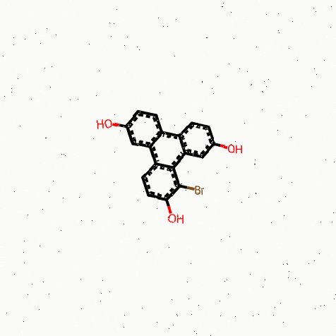 Oc1ccc2c(c1)c1ccc(O)c(Br)c1c1cc(O)ccc21